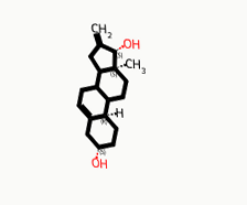 C=C1CC2C3CC=C4C[C@@H](O)CC[C@@H]4C3CC[C@]2(C)[C@H]1O